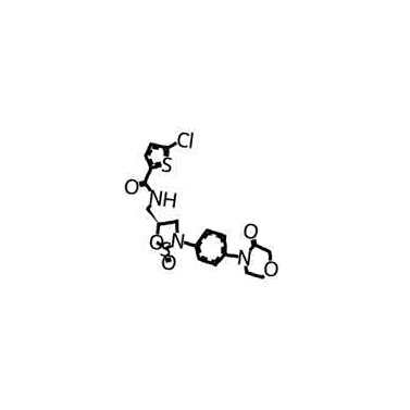 O=C(NC[C@H]1CN(c2ccc(N3CCOCC3=O)cc2)S(=O)O1)c1ccc(Cl)s1